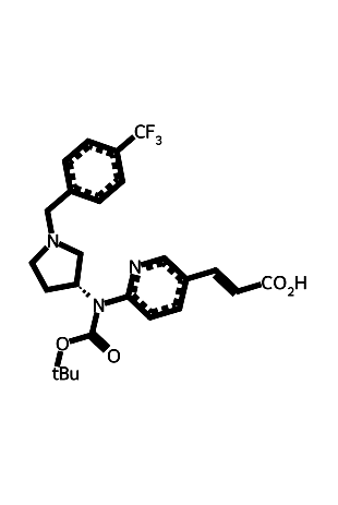 CC(C)(C)OC(=O)N(c1ccc(C=CC(=O)O)cn1)[C@@H]1CCN(Cc2ccc(C(F)(F)F)cc2)C1